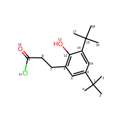 CC(C)(C)c1cc(CCC(=O)Cl)c(O)c(C(C)(C)C)c1